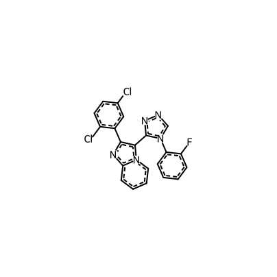 Fc1ccccc1-n1cnnc1-c1c(-c2cc(Cl)ccc2Cl)nc2ccccn12